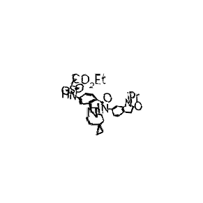 CCOC(=O)CS(=O)(=O)Nc1ccc(C(=O)Nc2ccc3c(c2)N(C(C)C)C(=O)C3)c(N2CCC3(CC2)CC3)c1